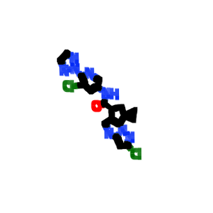 O=C(Nc1cnc(-n2nccn2)c(Cl)c1)[C@H]1CC2(CC2)c2c1cnc1cc(Cl)nn21